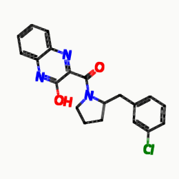 O=C(c1nc2ccccc2nc1O)N1CCCC1Cc1cccc(Cl)c1